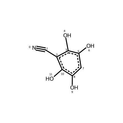 N#Cc1c(O)c(O)cc(O)c1O